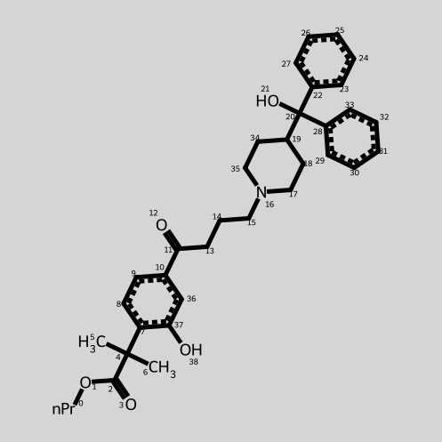 CCCOC(=O)C(C)(C)c1ccc(C(=O)CCCN2CCC(C(O)(c3ccccc3)c3ccccc3)CC2)cc1O